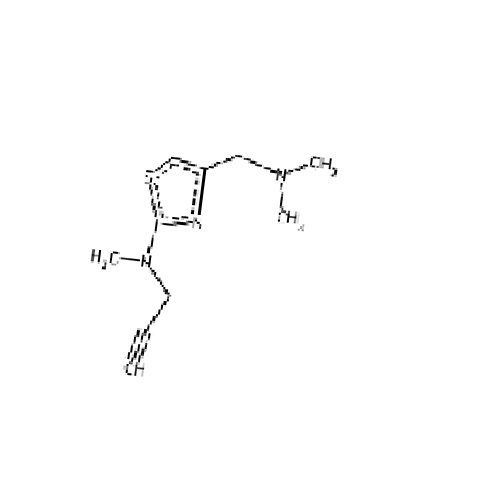 C#CCN(C)c1nc(CN(C)C)cs1